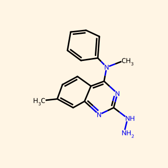 Cc1ccc2c(N(C)c3ccccc3)nc(NN)nc2c1